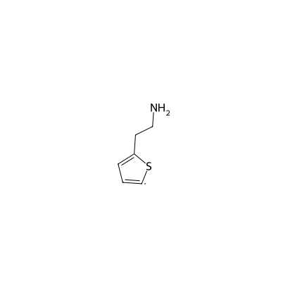 NCCc1cc[c]s1